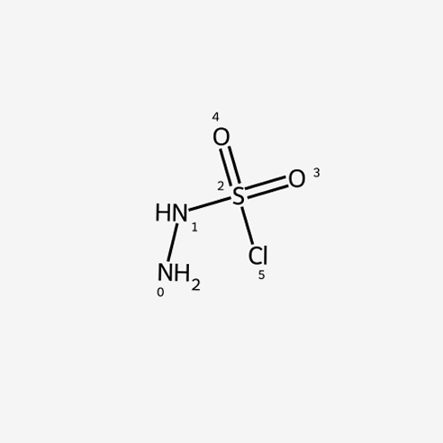 NNS(=O)(=O)Cl